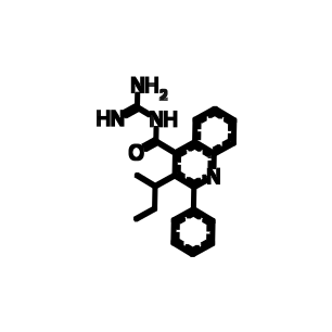 CCC(C)c1c(-c2ccccc2)nc2ccccc2c1C(=O)NC(=N)N